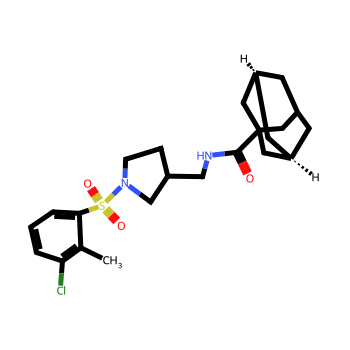 Cc1c(Cl)cccc1S(=O)(=O)N1CCC(CNC(=O)C23CC4C[C@H](C2)C[C@@H](C4)C3)C1